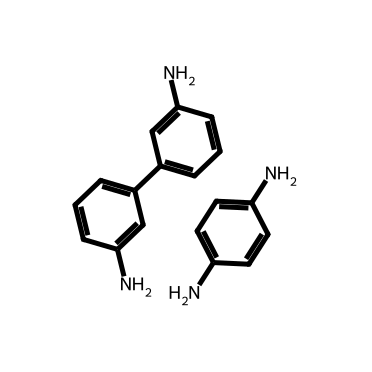 Nc1ccc(N)cc1.Nc1cccc(-c2cccc(N)c2)c1